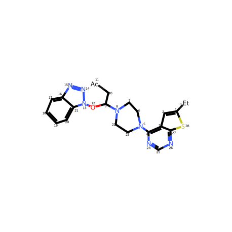 CCc1cc2c(N3CCN(C(CC(C)=O)On4nnc5ccccc54)CC3)ncnc2s1